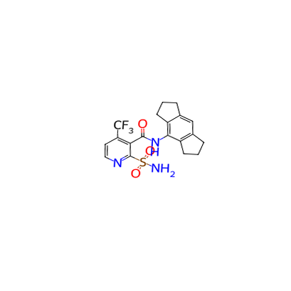 NS(=O)(=O)c1nccc(C(F)(F)F)c1C(=O)Nc1c2c(cc3c1CCC3)CCC2